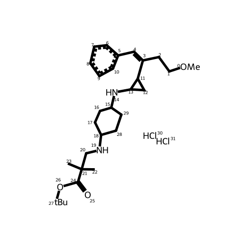 COCCC(=Cc1ccccc1)C1CC1NC1CCC(NCC(C)(C)C(=O)OC(C)(C)C)CC1.Cl.Cl